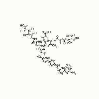 CC(=O)[C@H](CCC(=O)NC[C@H](O)[C@@H](O)[C@H](O)[C@H](O)CO)NC(=O)[C@H](CCC(=O)O)NC(=O)[C@H](CCC(=O)NC[C@H](O)[C@@H](O)[C@H](O)[C@H](O)CO)NC(=O)CC[C@H](NC(=O)c1ccc(NCc2cnc3c(n2)C(N)NC(N)=N3)cc1)C(=O)O